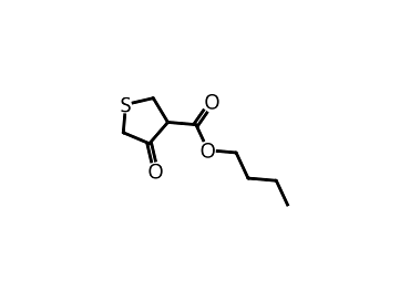 CCCCOC(=O)C1CSCC1=O